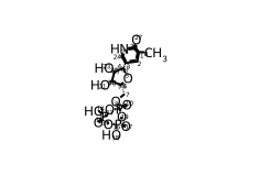 Cc1cc([C@@H]2O[C@H](COP3(=O)OP(=O)(O)OP(=O)(O)O3)[C@H](O)[C@@H]2O)c[nH]c1=O